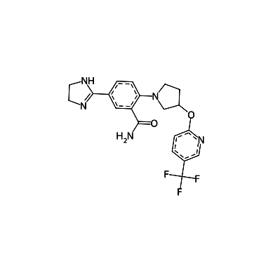 NC(=O)c1cc(C2=NCCN2)ccc1N1CCC(Oc2ccc(C(F)(F)F)cn2)C1